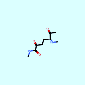 CNC(=O)C(=O)CC[C@H](NC)C(C)=O